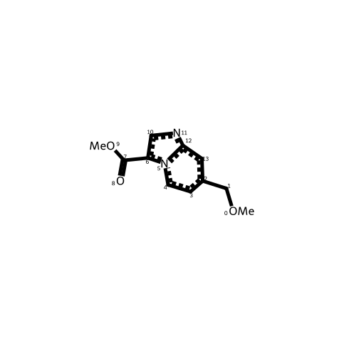 COCc1ccn2c(C(=O)OC)cnc2c1